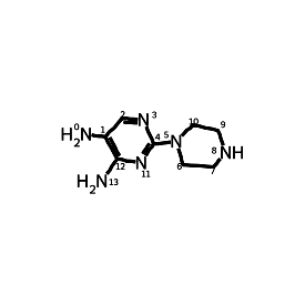 Nc1cnc(N2CCNCC2)nc1N